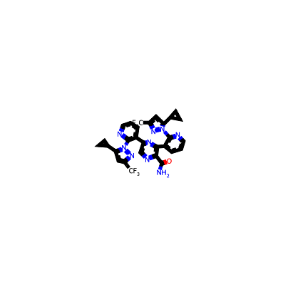 NC(=O)c1ncc(-c2cccnc2-n2nc(C(F)(F)F)cc2C2CC2)nc1-c1cccnc1-n1nc(C(F)(F)F)cc1C1CC1